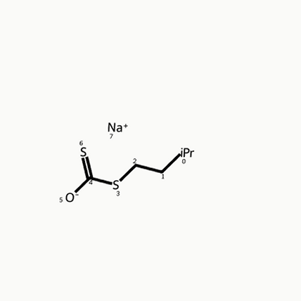 CC(C)CCSC([O-])=S.[Na+]